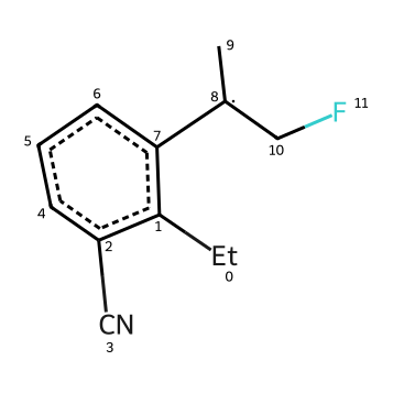 CCc1c(C#N)cccc1[C](C)CF